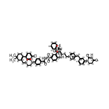 CC1(C)CCC(c2ccc(Cl)cc2)=C(CN2CCN(c3ccc(C(=O)NS(=O)(=O)c4ccc(N[C@H](CCN5CC6CCC5CN6Cc5cccc(N6CCC(=O)NC6=O)c5)CSc5ccccc5)c(S(=O)(=O)C(F)(F)F)c4)cc3)CC2)C1